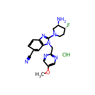 COc1cnc(Cn2c(N3CC[C@@H](F)[C@H](N)C3)nc3ccc(C#N)cc32)nc1.Cl